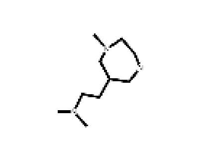 CN(C)CCC1C[N]CCN(C)C1